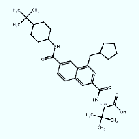 CC(C)(C)C1CCC(NC(=O)c2ccc3cc(C(=O)N[C@H](C(=O)O)C(C)(C)C)nc(CC4CCCC4)c3c2)CC1